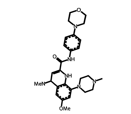 CNC1C=C(C(=O)Nc2ccc(N3CCOCC3)cc2)Nc2c1cc(OC)cc2N1CCN(C)CC1